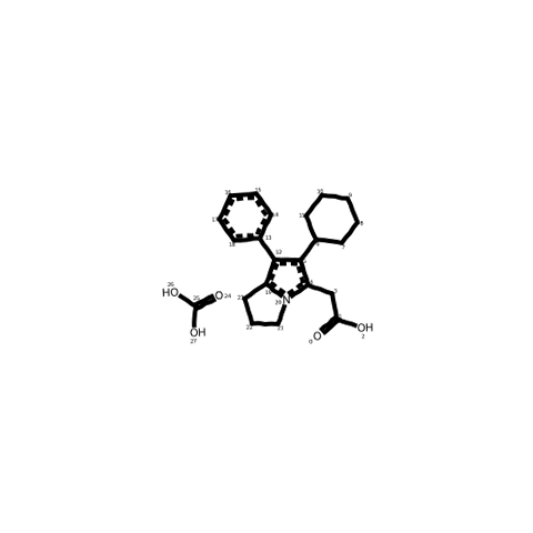 O=C(O)Cc1c(C2CCCCC2)c(-c2ccccc2)c2n1CCC2.O=C(O)O